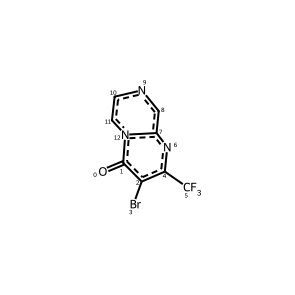 O=c1c(Br)c(C(F)(F)F)nc2cnccn12